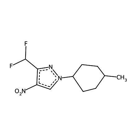 CC1CCC(n2cc([N+](=O)[O-])c(C(F)F)n2)CC1